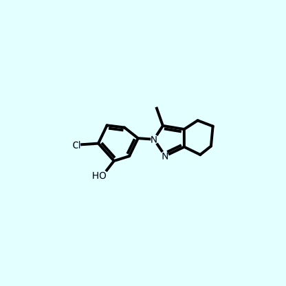 Cc1c2c(nn1-c1ccc(Cl)c(O)c1)CCCC2